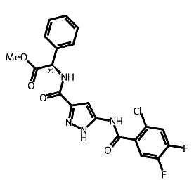 COC(=O)[C@H](NC(=O)c1cc(NC(=O)c2cc(F)c(F)cc2Cl)[nH]n1)c1ccccc1